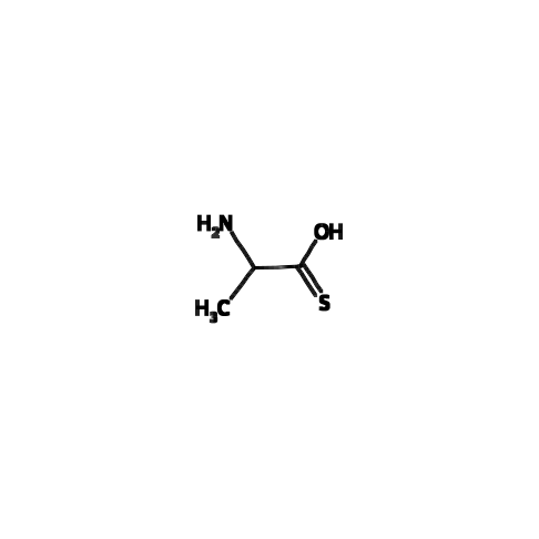 CC(N)C(O)=S